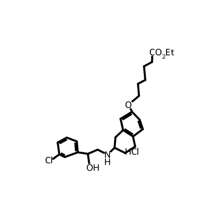 CCOC(=O)CCCCCOc1ccc2c(c1)CC(NCC(O)c1cccc(Cl)c1)CC2.Cl